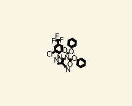 N#Cc1cnn(-c2ccc(C(F)(F)F)cc2Cl)c1N(C(=O)Oc1ccccc1)C(=O)Oc1ccccc1